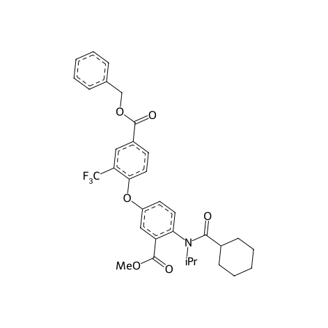 COC(=O)c1cc(Oc2ccc(C(=O)OCc3ccccc3)cc2C(F)(F)F)ccc1N(C(=O)C1CCCCC1)C(C)C